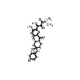 CN(C)C(=O)C(=O)C(=N)c1nc(C(=O)N2CCC(O)(Cc3ccc(F)cc3)CC2)c(Cl)nc1O